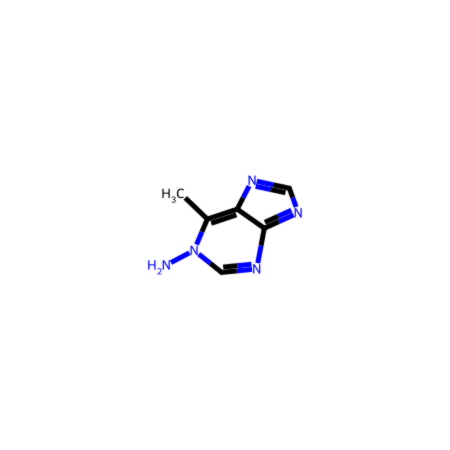 Cc1c2ncnc-2ncn1N